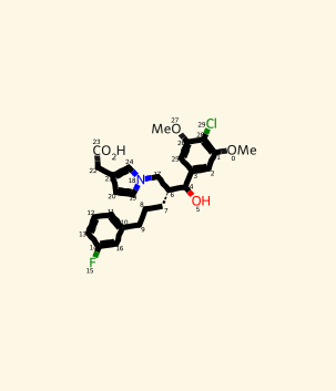 COc1cc(C(O)[C@H](CCCc2cccc(F)c2)Cn2ccc(CC(=O)O)c2)cc(OC)c1Cl